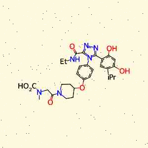 CCNC(=O)c1nnc(-c2cc(C(C)C)c(O)cc2O)n1-c1ccc(OC2CCN(C(=O)CN(C)C(=O)O)CC2)cc1